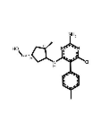 Cc1ccc(-c2c(Cl)nc(N)nc2NC2C[C@H](CO)C[C@H]2C)cc1